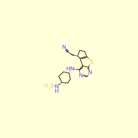 BN[C@H]1CC[C@H](Nc2ncnc3sc4c(c23)[C@@H](CC#N)CC4)CC1